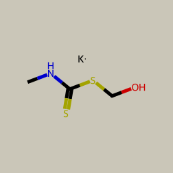 CNC(=S)SCO.[K]